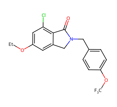 CCOc1cc(Cl)c2c(c1)CN(Cc1ccc(OC(F)(F)F)cc1)C2=O